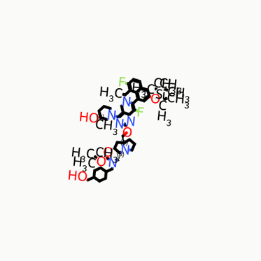 CCc1c(F)ccc2cc(O[Si](C(C)C)(C(C)C)C(C)C)cc(-c3ncc4c(N5CCC[C@@](C)(O)C5)nc(OC[C@@]56CCCN5[C@H](CN(CC5CCC(CO)CC5)C(=O)OC(C)(C)C)CC6)nc4c3F)c12